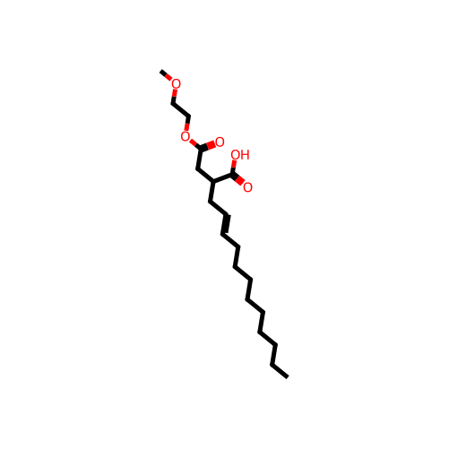 CCCCCCCCC/C=C/CC(CC(=O)OCCOC)C(=O)O